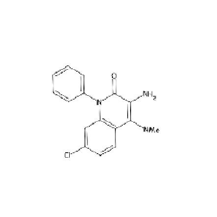 CNc1c(N)c(=O)n(-c2ccccc2)c2cc(Cl)ccc12